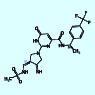 C[C@@H](NC(=O)c1cc(=O)[nH]c(N2CC(=N)/C(=C\NS(C)(=O)=O)C2)n1)c1ccc(C(F)(F)F)cc1